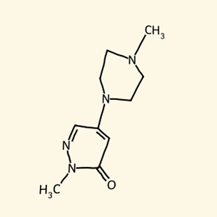 CN1CCN(c2cnn(C)c(=O)c2)CC1